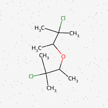 CC(OC(C)C(C)(C)Cl)C(C)(C)Cl